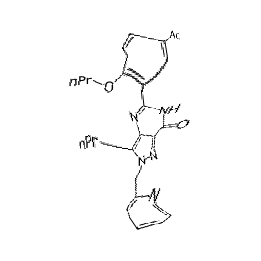 CCCOc1ccc(C(C)=O)cc1-c1nc2c(CCC)n(Cc3ccccn3)nc2c(=O)[nH]1